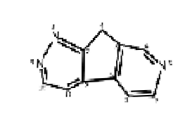 c1cc2c(cn1)Cc1nnccc1-2